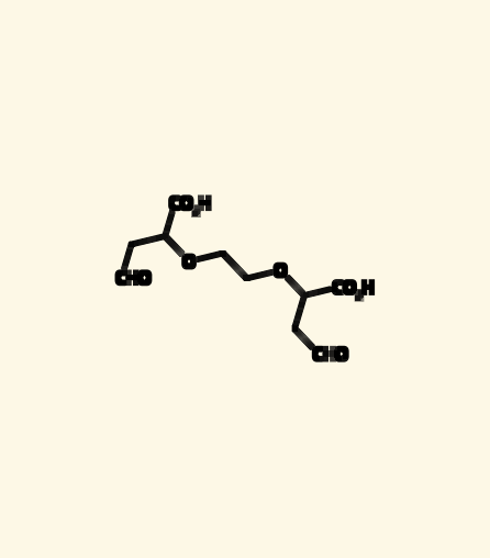 O=CCC(OCCOC(CC=O)C(=O)O)C(=O)O